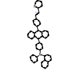 C(=C\c1ccccn1)/c1ccc(-c2c3ccccc3c(-c3ccc(N(c4ccccc4)c4cccc5ccccc45)cc3)c3ccccc23)cc1